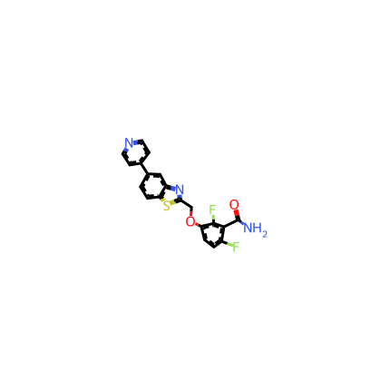 NC(=O)c1c(F)ccc(OCc2nc3cc(-c4ccncc4)ccc3s2)c1F